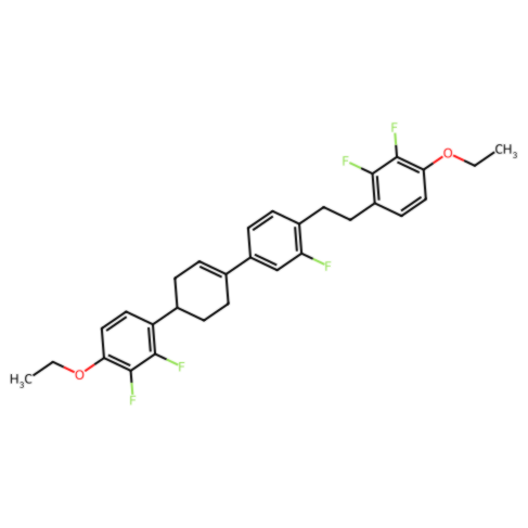 CCOc1ccc(CCc2ccc(C3=CCC(c4ccc(OCC)c(F)c4F)CC3)cc2F)c(F)c1F